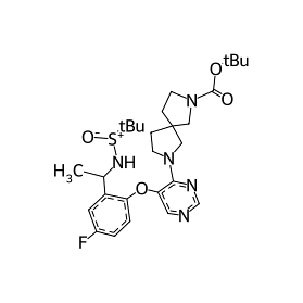 CC(N[S+]([O-])C(C)(C)C)c1cc(F)ccc1Oc1cncnc1N1CCC2(CCN(C(=O)OC(C)(C)C)C2)C1